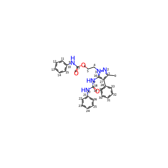 Cc1nn(CCOC(=O)Nc2ccccc2)c(NC(=O)Nc2ccccc2)c1-c1ccccc1